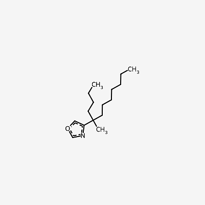 CCCCCCCC(C)(CCCC)c1cocn1